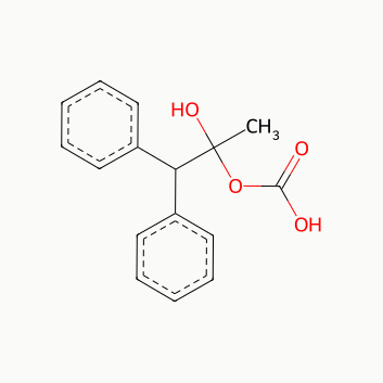 CC(O)(OC(=O)O)C(c1ccccc1)c1ccccc1